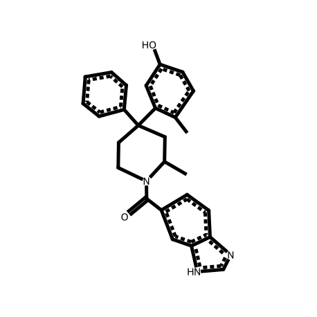 Cc1ccc(O)cc1C1(c2ccccc2)CCN(C(=O)c2ccc3nc[nH]c3c2)C(C)C1